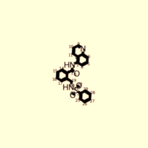 O=C(Nc1cccc2ncccc12)c1ccccc1CNS(=O)(=O)c1ccccc1